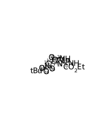 CCOC(=O)/C(C=N)=C1\N=C(CC2(C(=O)OC)CCN(C(=O)OC(C)(C)C)C2=O)C=CN1